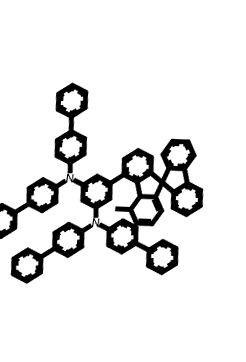 CC1C=CC=C2C1c1c(-c3cc(N(c4ccc(-c5ccccc5)cc4)c4ccc(-c5ccccc5)cc4)cc(N(c4ccc(-c5ccccc5)cc4)c4ccc(-c5ccccc5)cc4)c3)cccc1C21c2ccccc2-c2ccccc21